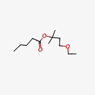 CCCCC(=O)OC(C)(C)CCOCC